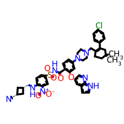 CC1(C)CCC(CN2CCN(c3ccc(C(=O)NS(=O)(=O)c4ccc(NC[C@H]5C[C@@H](C#N)C5)c([N+](=O)[O-])c4)c(Oc4cnc5[nH]ccc5c4)c3)CC2)=C(c2ccc(Cl)cc2)C1